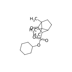 CC12CCC(C(S(=O)(=O)OC3CCCCC3)C1=O)C2(C)C